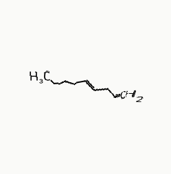 C=CCC=CCCCC